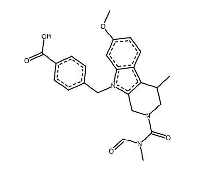 COc1ccc2c3c(n(Cc4ccc(C(=O)O)cc4)c2c1)CN(C(=O)N(C)C=O)CC3C